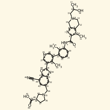 Cc1c(NC(=O)c2nc3c(n2C)CCN(CC(C)O)C3)cccc1-c1cncc(-c2nc3cc(CN4CC[C@@H](C(=O)O)C4)cc(C#N)c3o2)c1C